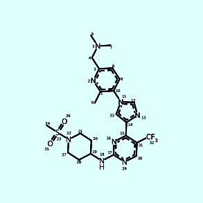 Cc1nc(CN(C)C)ccc1-n1cnc(-c2nc(NC3CCN(S(C)(=O)=O)CC3)ncc2C(F)(F)F)c1